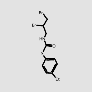 CCc1ccc(SC(=O)NCC(Br)CBr)cc1